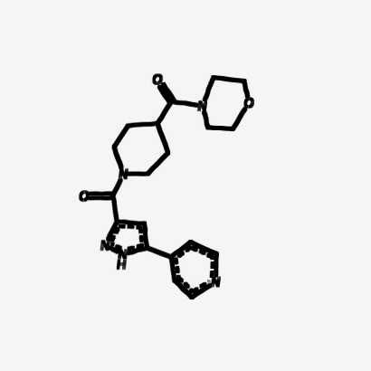 O=C(c1cc(-c2ccncc2)[nH]n1)N1CCC(C(=O)N2CCOCC2)CC1